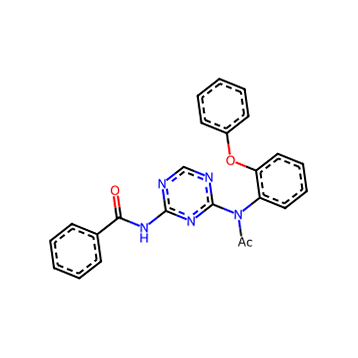 CC(=O)N(c1ncnc(NC(=O)c2ccccc2)n1)c1ccccc1Oc1ccccc1